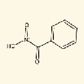 O=C(c1ccccc1)[N+](=O)O